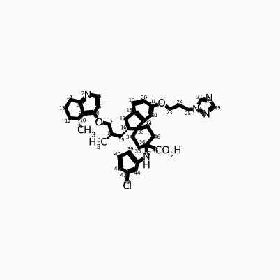 C[C@@H](COc1ccnc2c1[C@H](C)CCC2)C[C@H]1Cc2ccc(OCCCn3cncn3)cc2C12CCC(Nc1cccc(Cl)c1)(C(=O)O)CC2